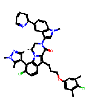 Cc1cc(OCCCc2c3n(c4c(-c5c(C)nn(C)c5C)c(Cl)ccc24)[C@H](C)CN(c2cn(C)c4ccc(-c5ccccn5)cc24)C3=O)cc(C)c1Cl